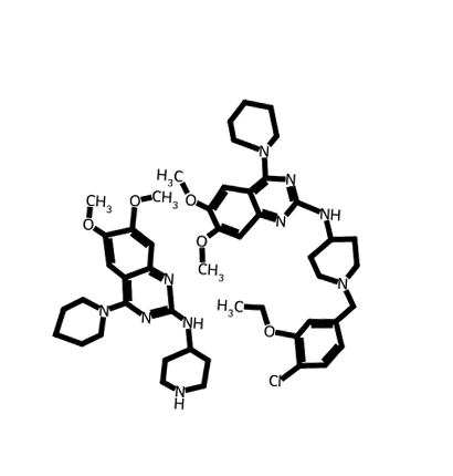 CCOc1cc(CN2CCC(Nc3nc(N4CCCCC4)c4cc(OC)c(OC)cc4n3)CC2)ccc1Cl.COc1cc2nc(NC3CCNCC3)nc(N3CCCCC3)c2cc1OC